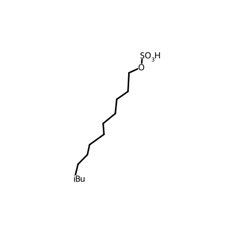 CCC(C)CCCCCCCCCOS(=O)(=O)O